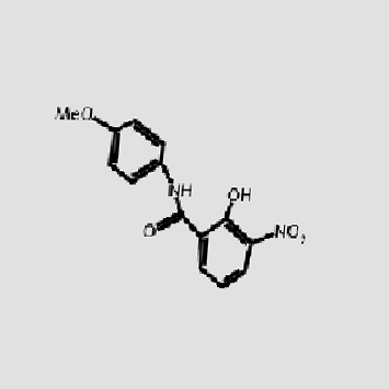 COc1ccc(NC(=O)c2cccc([N+](=O)[O-])c2O)cc1